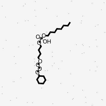 CCCCCCCCOP(=O)(O)OCCCCOOOOC1CCCCC1